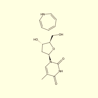 C1=CC=CNC=C1.Cc1cn([C@H]2C[C@H](O)[C@@H](CO)O2)c(=O)[nH]c1=O